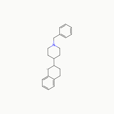 [C]1c2ccccc2CCC1C1CCN(Cc2ccccc2)CC1